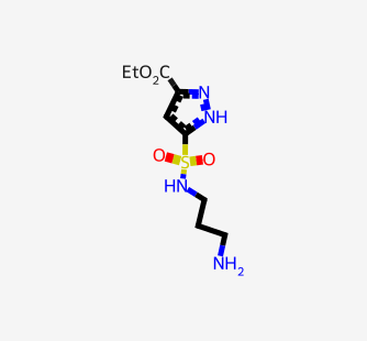 CCOC(=O)c1cc(S(=O)(=O)NCCCN)[nH]n1